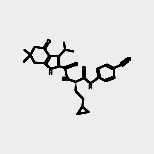 CC(C)c1c(C(=O)N[C@@H](CCC2CC2)C(=O)Nc2ccc(C#N)cc2)[nH]c2c1C(=O)CC(C)(C)C2